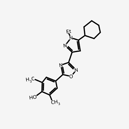 CCn1nc(-c2noc(-c3cc(C)c(O)c(C)c3)n2)cc1C1CCCCC1